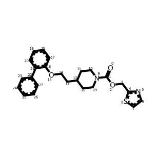 O=C(OCc1nccs1)N1CCC(CCOc2ccccc2-c2ccccc2)CC1